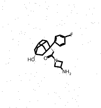 NC1CN(C(=O)C[C@]2(c3ccc(F)cc3)C3CC4CC2C[C@](O)(C4)C3)C1